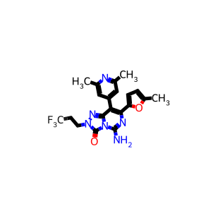 Cc1cc(-c2c(-c3ccc(C)o3)nc(N)n3c(=O)n(CCC(F)(F)F)nc23)cc(C)n1